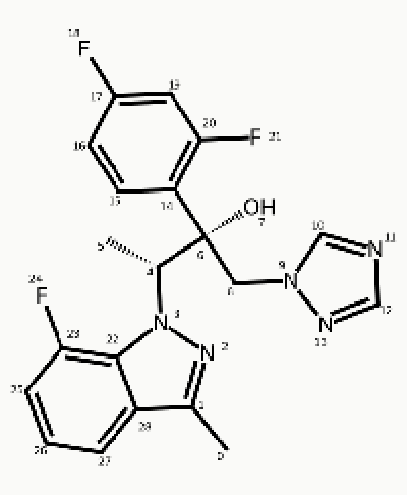 Cc1nn([C@H](C)[C@](O)(Cn2cncn2)c2ccc(F)cc2F)c2c(F)cccc12